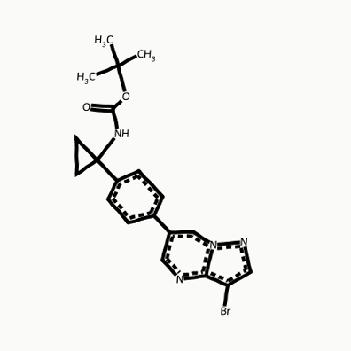 CC(C)(C)OC(=O)NC1(c2ccc(-c3cnc4c(Br)cnn4c3)cc2)CC1